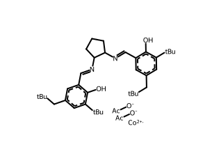 CC(=O)[O-].CC(=O)[O-].CC(C)(C)Cc1cc(C=NC2CCCC2N=Cc2cc(CC(C)(C)C)cc(C(C)(C)C)c2O)c(O)c(C(C)(C)C)c1.[Co+2]